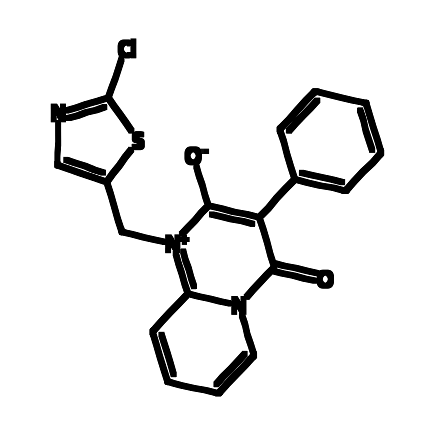 O=c1c(-c2ccccc2)c([O-])[n+](Cc2cnc(Cl)s2)c2ccccn12